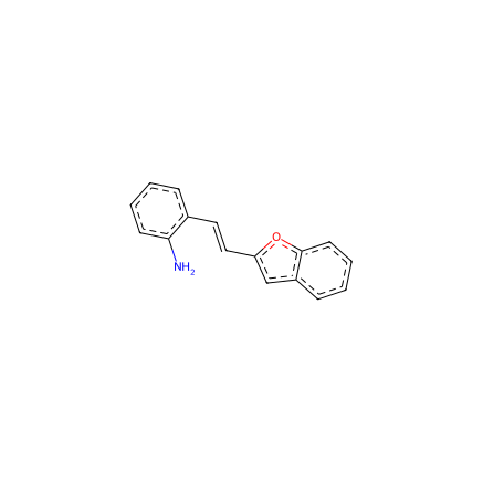 Nc1ccccc1/C=C/c1cc2ccccc2o1